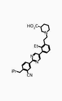 CCc1c(CCN2CCC[C@H](C(=O)O)C2)cccc1-c1cnc(-c2ccc(CC(C)C)c(C#N)c2)nc1